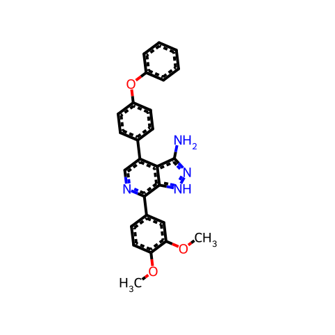 COc1ccc(-c2ncc(-c3ccc(Oc4ccccc4)cc3)c3c(N)n[nH]c23)cc1OC